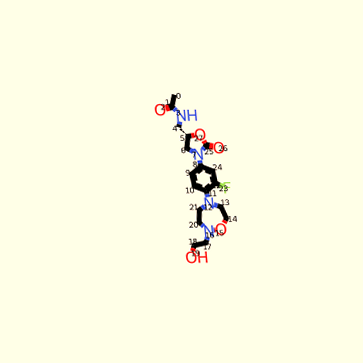 CC(=O)NC[C@H]1CN(c2ccc(N3CCON(CCO)CC3)c(F)c2)C(=O)O1